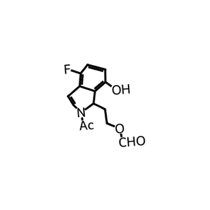 CC(=O)N1C=Cc2c(F)ccc(O)c2C1CCOC=O